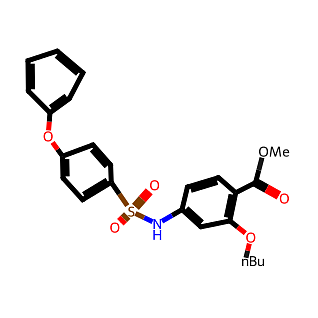 CCCCOc1cc(NS(=O)(=O)c2ccc(Oc3ccccc3)cc2)ccc1C(=O)OC